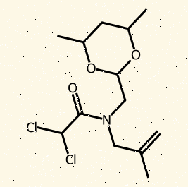 C=C(C)CN(CC1OC(C)CC(C)O1)C(=O)C(Cl)Cl